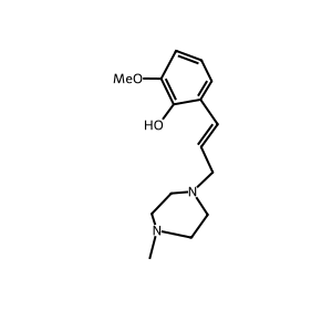 COc1cccc(C=CCN2CCN(C)CC2)c1O